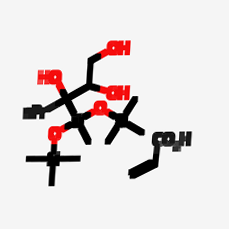 C=CC(=O)O.CCCC(O)(C(O)CO)[Si](C)(O[Si](C)(C)C)O[Si](C)(C)C